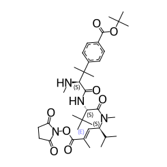 CN[C@H](C(=O)N[C@H](C(=O)N(C)[C@H](/C=C(\C)C(=O)ON1C(=O)CCC1=O)C(C)C)C(C)(C)C)C(C)(C)c1ccc(C(=O)OC(C)(C)C)cc1